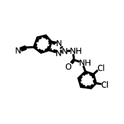 N#Cc1ccc2nn(NC(=O)Nc3cccc(Cl)c3Cl)nc2c1